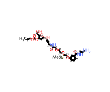 C=CCOC(=O)O[C@@H]1C[C@H](BC#CCNC(=O)COCCOC(COc2cccc(C(=O)NCCN)c2)SSC)OC1CO